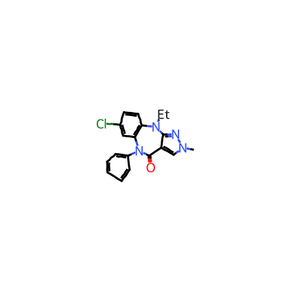 CCN1c2ccc(Cl)cc2N(c2ccccc2)C(=O)c2cn(C)nc21